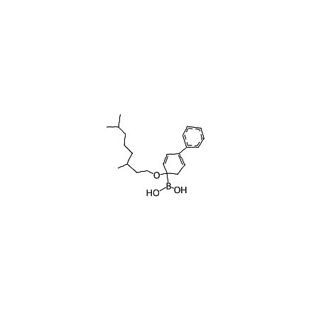 CC(C)CCCC(C)CCOC1(B(O)O)C=CC(c2ccccc2)=CC1